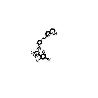 N#Cc1cc(Cl)c(C(=O)N[C@@H](CCN2CC[C@H](CCc3ccc4c(n3)NCCC4)C2)C(=O)O)c(Cl)c1